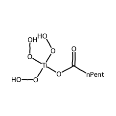 CCCCCC(=O)[O][Ti]([O]O)([O]O)[O]O